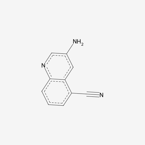 N#Cc1cccc2ncc(N)cc12